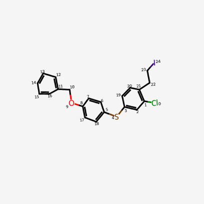 Clc1cc(Sc2ccc(OCc3ccccc3)cc2)ccc1CCI